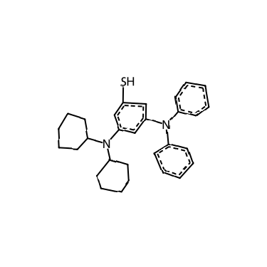 Sc1cc(N(c2ccccc2)c2ccccc2)cc(N(C2CCCCC2)C2CCCCC2)c1